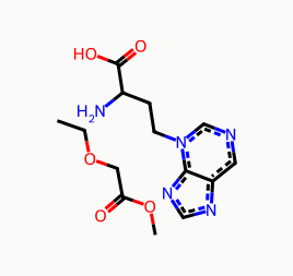 CCOCC(=O)OC.NC(CCn1cncc2ncnc1-2)C(=O)O